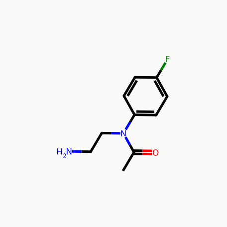 CC(=O)N(CCN)c1ccc(F)cc1